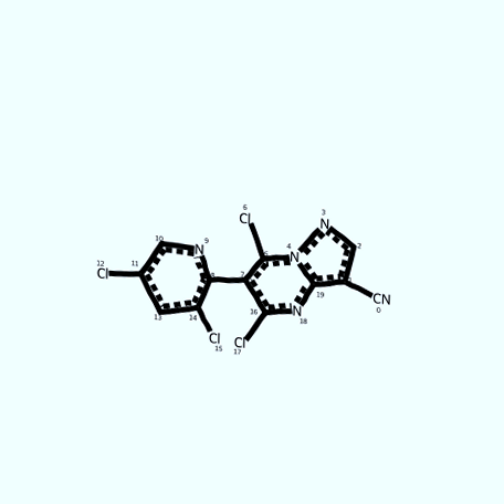 N#Cc1cnn2c(Cl)c(-c3ncc(Cl)cc3Cl)c(Cl)nc12